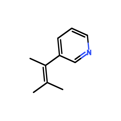 CC(C)=C(C)c1cccnc1